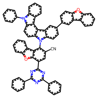 N#Cc1cc(-c2nc(-c3ccccc3)nc(-c3ccccc3)n2)c2oc3ccccc3c2c1-n1c2ccc(-c3ccc4oc5ccccc5c4c3)cc2c2c3c4ccccc4n(-c4ccccc4)c3ccc21